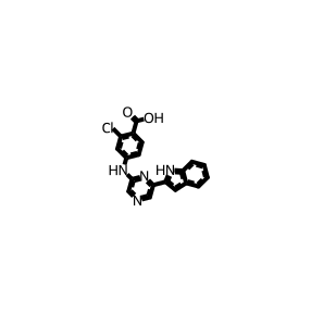 O=C(O)c1ccc(Nc2cncc(-c3cc4ccccc4[nH]3)n2)cc1Cl